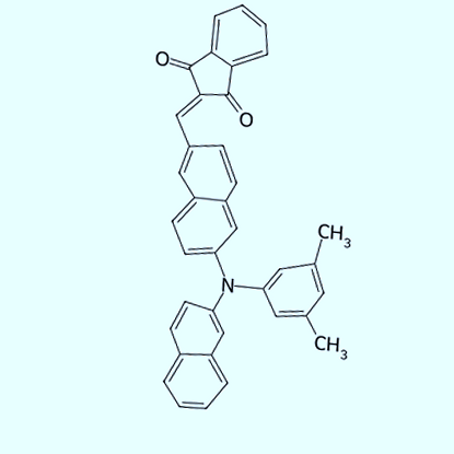 Cc1cc(C)cc(N(c2ccc3ccccc3c2)c2ccc3cc(C=C4C(=O)c5ccccc5C4=O)ccc3c2)c1